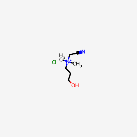 C[N+](C)(CC#N)CCCO.[Cl-]